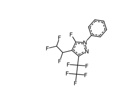 Fc1c(C(F)C(F)F)c(C(F)(F)C(F)(F)F)nn1-c1ccccc1